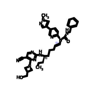 CCC[C@H](CCC/C=C/N(C(=O)NCc1ccccc1)c1ccc(-c2cnn(C)c2)cn1)Nc1ncc(C#N)c(N2CC(CO)C2)n1